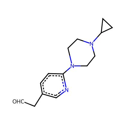 O=CCc1ccc(N2CCN(C3CC3)CC2)nc1